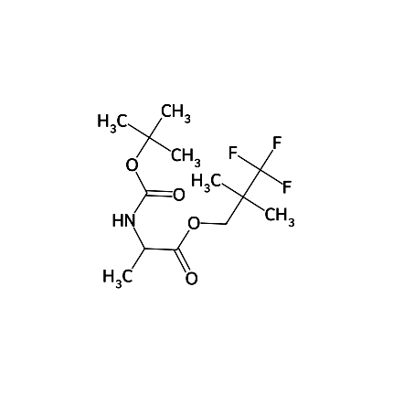 CC(NC(=O)OC(C)(C)C)C(=O)OCC(C)(C)C(F)(F)F